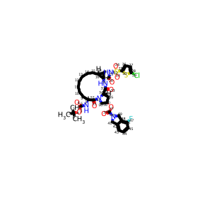 CC(C)(C)OC(=O)N[C@H]1CCCCCCC[C@@H]2C[C@@]2(C(=O)NS(=O)(=O)c2ccc(Cl)s2)NC(=O)[C@@H]2C[C@@H](OC(=O)N3Cc4cccc(F)c4C3)CN2C1=O